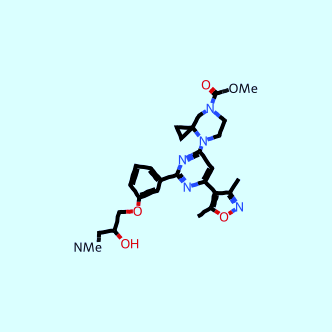 CNCC(O)COc1cccc(-c2nc(-c3c(C)noc3C)cc(N3CCN(C(=O)OC)CC34CC4)n2)c1